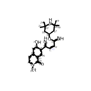 CCn1ccc2cc(O)c(C(=N)/C=C\C(=N)OC3CC(C)(C)NC(C)(C)C3)cc2c1=O